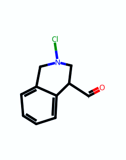 O=[C]C1CN(Cl)Cc2ccccc21